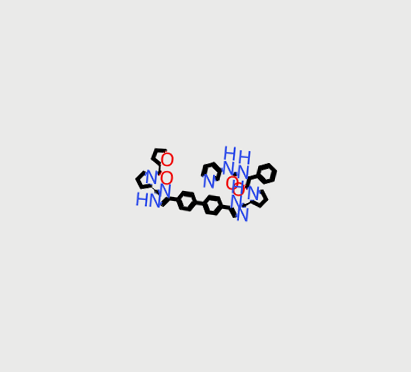 O=C(Nc1cccnc1)N[C@@H](C(=O)N1CCC[C@H]1c1ncc(-c2ccc(-c3ccc(-c4c[nH]c([C@@H]5CCCN5C(=O)[C@H]5CCCO5)n4)cc3)cc2)[nH]1)c1ccccc1